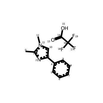 Cc1nc(-c2ccccc2)cn1C.O=C(O)C(F)(F)F